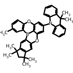 Cc1ccc2c(c1)B1c3cc4c(cc3Oc3cc(N5c6ccccc6C(C)(C)c6ccccc65)cc(c31)O2)C(C)(C)CC4(C)C